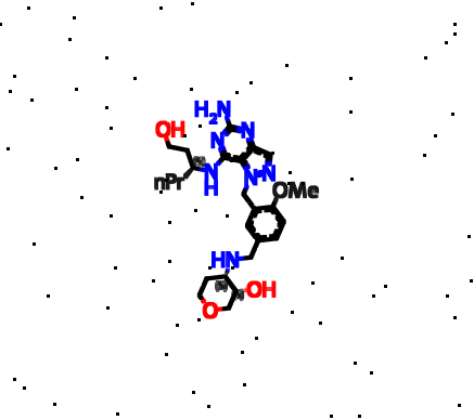 CCC[C@@H](CCO)Nc1nc(N)nc2cnn(Cc3cc(CN[C@H]4CCOC[C@H]4O)ccc3OC)c12